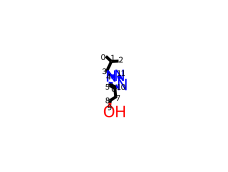 CC(C)Cn1cc(CCO)nn1